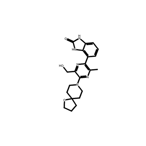 Cc1nc(N2CCC3(CCCO3)CC2)c(CO)nc1-c1cccc2[nH]c(=O)[nH]c12